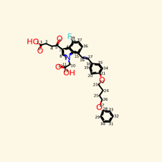 O=C(O)CCC(=O)c1cn(CC(=O)O)c2c(/C=C/c3ccc(OCCCCOc4ccccc4)cc3)ccc(F)c12